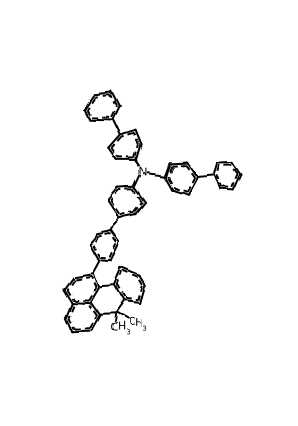 CC1(C)c2ccccc2-c2c(-c3ccc(-c4ccc(N(c5ccc(-c6ccccc6)cc5)c5ccc(-c6ccccc6)cc5)cc4)cc3)ccc3cccc1c23